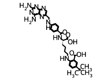 CC(C)(C)c1ccc(NCCCC[C@H](NC(=O)c2ccc(NCc3cnc4nc(N)nc(N)c4n3)cc2)C(=O)O)c(C(=O)O)c1